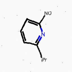 CC(C)c1cccc(N=O)n1